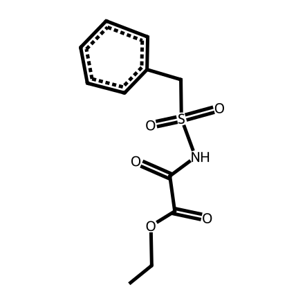 CCOC(=O)C(=O)NS(=O)(=O)Cc1ccccc1